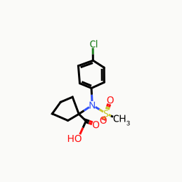 CS(=O)(=O)N(c1ccc(Cl)cc1)C1(C(=O)O)CCCC1